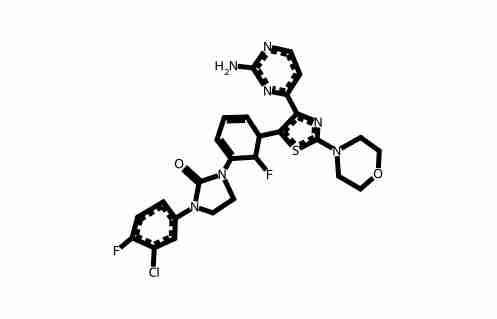 Nc1nccc(-c2nc(N3CCOCC3)sc2C2C=CC=C(N3CCN(c4ccc(F)c(Cl)c4)C3=O)C2F)n1